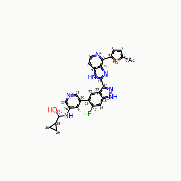 CC(=O)c1ccc(-c2nccc3[nH]c(-c4n[nH]c5cc(F)c(-c6cncc(NC(O)C7CC7)c6)cc45)nc23)s1